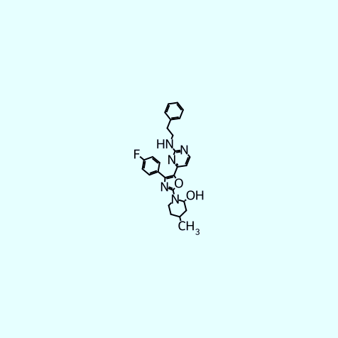 CC1CCN(c2nc(-c3ccc(F)cc3)c(-c3ccnc(NCCc4ccccc4)n3)o2)[C@@H](O)C1